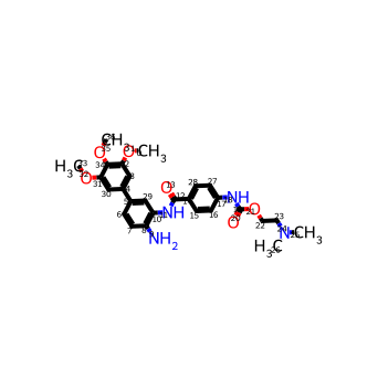 COc1cc(-c2ccc(N)c(NC(=O)c3ccc(NC(=O)OCCN(C)C)cc3)c2)cc(OC)c1OC